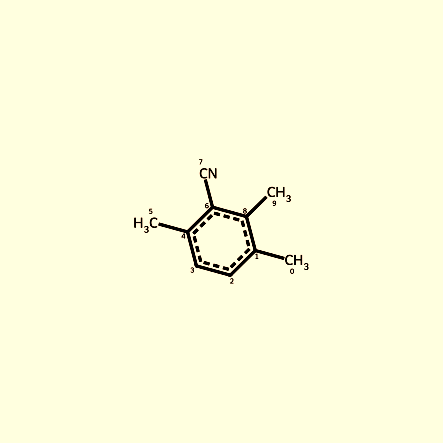 Cc1ccc(C)c(C#N)c1C